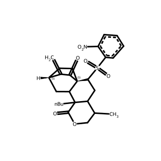 C=C1C(=O)[C@]23CC[C@H]1CC2C1(CCCC)C(=O)OCC(C)C1CC3S(=O)(=O)c1ccccc1[N+](=O)[O-]